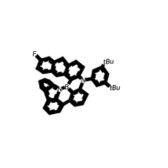 CC(C)(C)c1cc(N2c3cccc4c3B(c3c2ccc2cc5cc(F)ccc5cc32)n2c3ccccc3c3cccc-4c32)cc(C(C)(C)C)c1